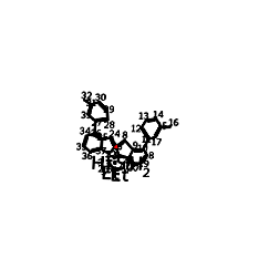 C[CH2][Hf]([CH3])([CH3])(=[SiH2])([CH2]C)([CH]1C=Cc2c(-c3cccc(C)c3)cccc21)[CH]1C=Cc2c(-c3cccc(C)c3)cccc21